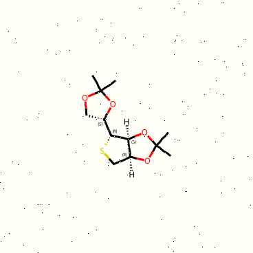 CC1(C)O[C@@H]2[C@@H]([C@@H]3COC(C)(C)O3)SC[C@@H]2O1